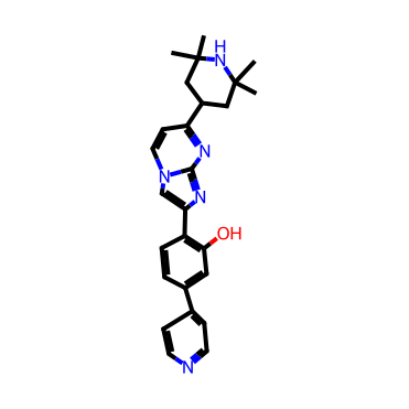 CC1(C)CC(c2ccn3cc(-c4ccc(-c5ccncc5)cc4O)nc3n2)CC(C)(C)N1